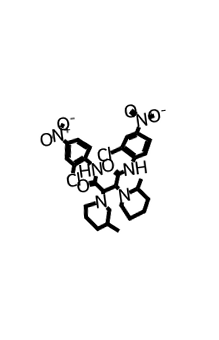 CC1CCCN(C(C(=O)Nc2ccc([N+](=O)[O-])cc2Cl)C(C(=O)Nc2ccc([N+](=O)[O-])cc2Cl)N2CCCCC2C)C1